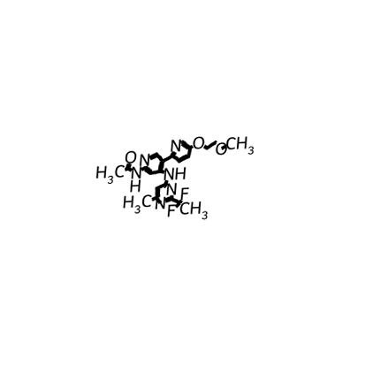 COCCOc1ccc(-c2cnc(NC(C)=O)cc2Nc2cc(C)nc(C(C)(F)F)n2)nc1